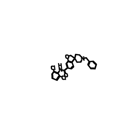 O=C(Nc1c(Cl)cccc1Cl)c1ccc2c(c1)OCC21CCN(Cc2ccccc2)CC1